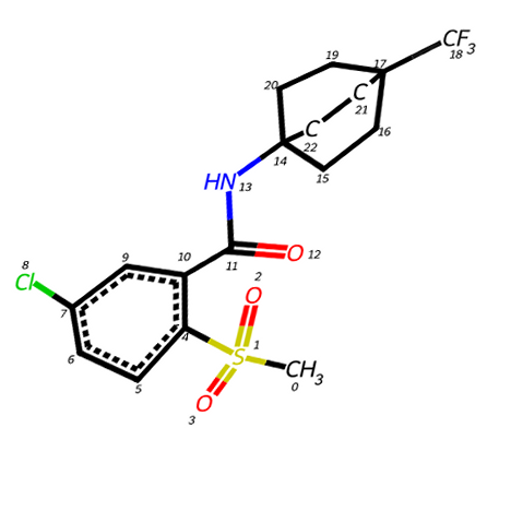 CS(=O)(=O)c1ccc(Cl)cc1C(=O)NC12CCC(C(F)(F)F)(CC1)CC2